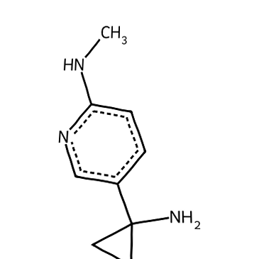 CNc1ccc(C2(N)CC2)cn1